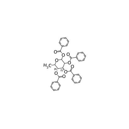 CC1OC(OC(=O)c2ccccc2)C(OC(=O)c2ccccc2)[C@@H](OC(=O)c2ccccc2)[C@@H]1OC(=O)c1ccccc1